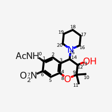 CC(=O)Nc1cc2c(cc1[N+](=O)[O-])OC(C)(C)C(O)C2N1CCCCC1